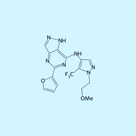 COCCn1ncc(Nc2nc(-c3ccco3)nc3cn[nH]c23)c1C(F)(F)F